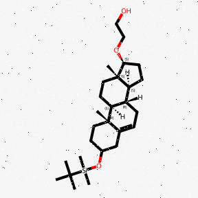 CC(C)(C)[Si](C)(C)OC1CC[C@@]2(C)C(=CC[C@H]3[C@@H]4CC[C@H](OCCO)[C@@]4(C)CC[C@@H]32)C1